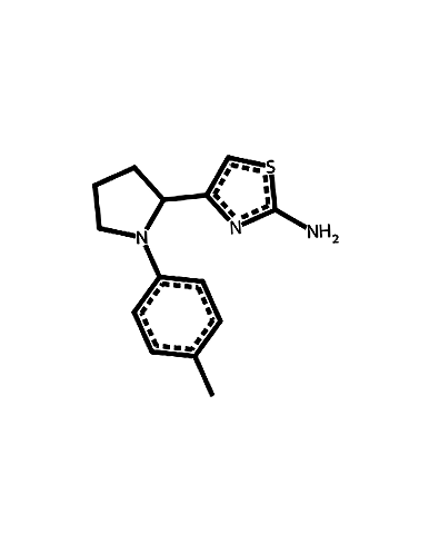 Cc1ccc(N2CCCC2c2csc(N)n2)cc1